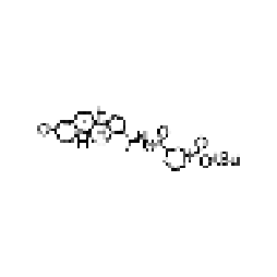 C/C(=N\OC(=O)[C@@H]1CCCN(C(=O)OC(C)(C)C)C1)[C@H]1CC[C@H]2[C@@H]3CCC4=CC(=O)CC[C@]4(C)[C@H]3CC[C@]12C